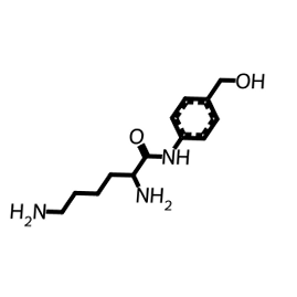 NCCCCC(N)C(=O)Nc1ccc(CO)cc1